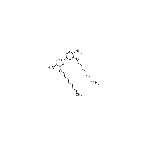 CCCCCCCCOc1cc(-c2ccc(N)c(OCCCCCCCC)c2)ccc1N